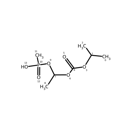 CC(C)OC(=O)OC(C)OP(C)(=O)O